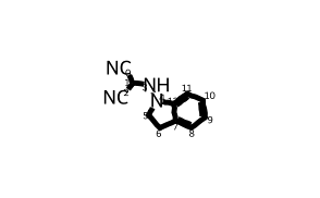 N#CC(C#N)NN1CCc2ccccc21